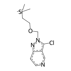 C[Si](C)(C)CCOCn1nc2ccncc2c1Cl